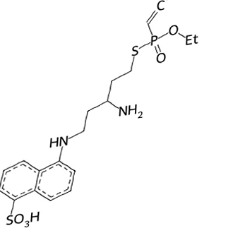 C=C=CP(=O)(OCC)SCCC(N)CCNc1cccc2c(S(=O)(=O)O)cccc12